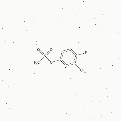 O=S(=O)(Oc1ccc(F)c(C(F)(F)F)c1)C(F)(F)F